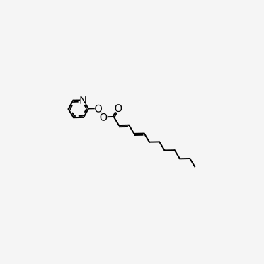 CCCCCCCC=CC=CC(=O)OOc1ccccn1